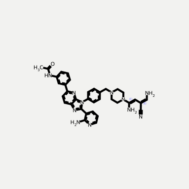 CC(=O)Nc1cccc(-c2ccc3nc(-c4cccnc4N)n(-c4ccc(CN5CCN(/C(N)=C/C(C#N)=C\N)CC5)cc4)c3n2)c1